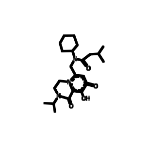 CC(C)CC(=O)N(Cc1cc(=O)c(O)c2n1CCN(C(C)C)C2=O)C1CCCCC1